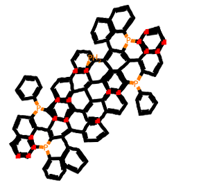 Pc1cc2ccccc2c(-c2c(-c3cccc4c(-c5c(P(c6ccccc6)c6ccccc6)ccc6ccccc56)c(P(c5ccccc5)c5ccccc5)c(-c5ccccc5)c(-c5ccccc5)c34)ccc3ccccc23)c1-c1cccc2c(-c3c(P(c4ccccc4)c4ccccc4)ccc4ccccc34)c(P(c3ccccc3)c3ccccc3)c(-c3ccccc3)c(-c3ccccc3)c12